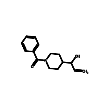 C=CC(O)C1CCN(C(=O)c2ccccc2)CC1